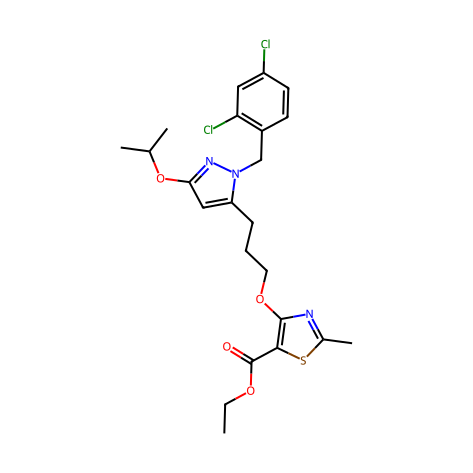 CCOC(=O)c1sc(C)nc1OCCCc1cc(OC(C)C)nn1Cc1ccc(Cl)cc1Cl